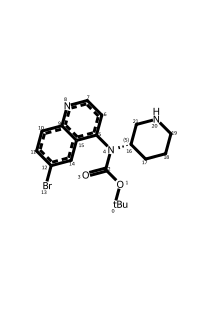 CC(C)(C)OC(=O)N(c1ccnc2ccc(Br)cc12)[C@H]1CCCNC1